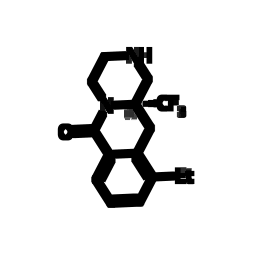 CCc1cccc2c1C[C@]1(C(F)(F)F)CNCCN1C2=O